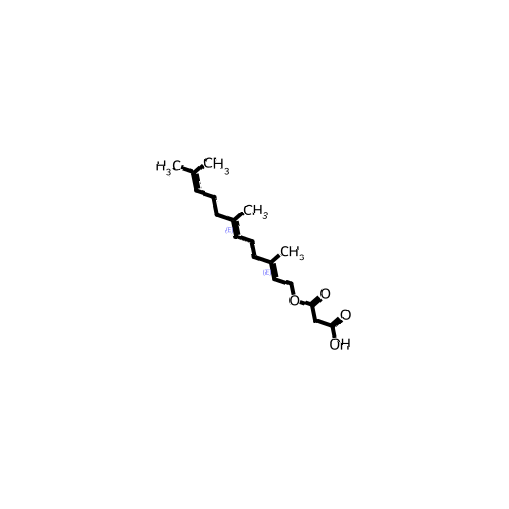 CC(C)=CCC/C(C)=C/CC/C(C)=C/COC(=O)CC(=O)O